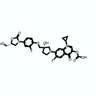 O=C(O)Oc1cn(C2CC2)c2cc(N3CC[C@@](O)(COc4ccc(N5C[C@H](CO)OC5=O)cc4F)C3)c(F)cc2c1=O